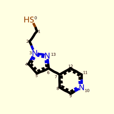 SCCn1ccc(-c2ccncc2)n1